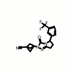 N#CC12CC(n3nc4n(c3=O)C(c3cccc(C(F)(F)F)c3)CC4)(C1)C2